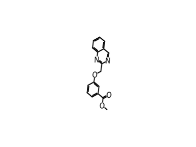 COC(=O)c1cccc(OCc2ncc3ccccc3n2)c1